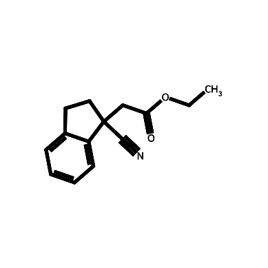 CCOC(=O)CC1(C#N)CCc2ccccc21